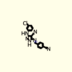 N#Cc1ccc(/C=N/c2[nH]nc(Nc3cccc(Cl)c3)c2C#N)cc1